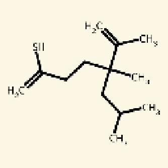 C=C(S)CCC(C)(CC(C)C)C(=C)C